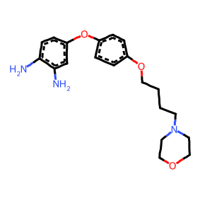 Nc1ccc(Oc2ccc(OCCCCN3CCOCC3)cc2)cc1N